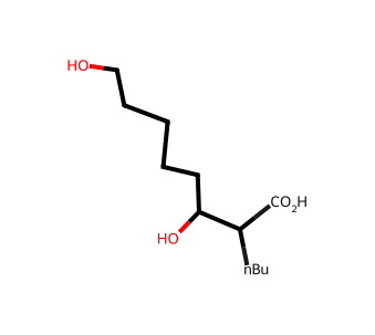 CCCCC(C(=O)O)C(O)CCCCCO